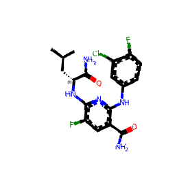 CC(C)C[C@@H](Nc1nc(Nc2ccc(F)c(Cl)c2)c(C(N)=O)cc1F)C(N)=O